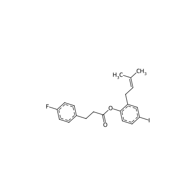 CC(C)=CCc1cc(I)ccc1OC(=O)CCc1ccc(F)cc1